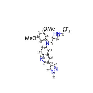 COc1cc(OC)cc(N(CCCNCC(F)(F)F)c2ccc3ncc(-c4cnn(C)c4)cc3c2)c1